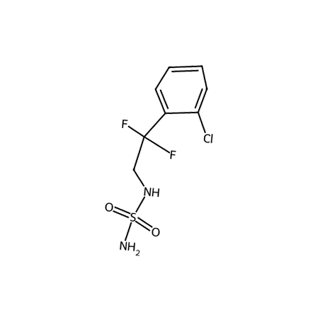 NS(=O)(=O)NCC(F)(F)c1ccccc1Cl